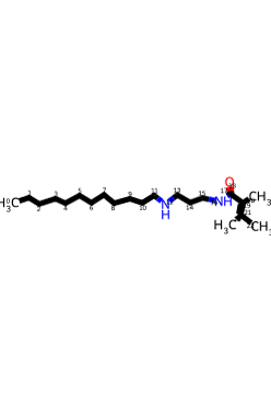 CCCCCCCCCCCCNCCCNC(=O)C(C)=C(C)C